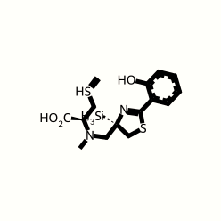 C=[SH]C[C@H](C(=O)O)N(C)C[C@]1([SiH3])CSC(c2ccccc2O)=N1